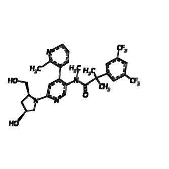 Cc1ncccc1-c1cc(N2C[C@@H](O)C[C@H]2CO)ncc1N(C)C(=O)C(C)(C)c1cc(C(F)(F)F)cc(C(F)(F)F)c1